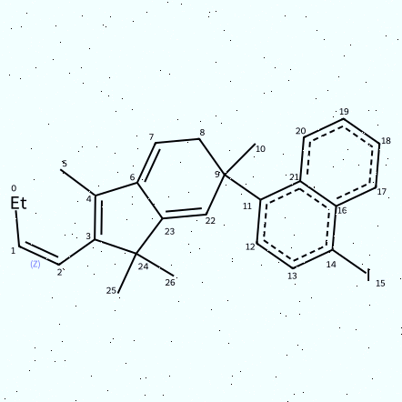 CC/C=C\C1=C(C)C2=CCC(C)(c3ccc(I)c4ccccc34)C=C2C1(C)C